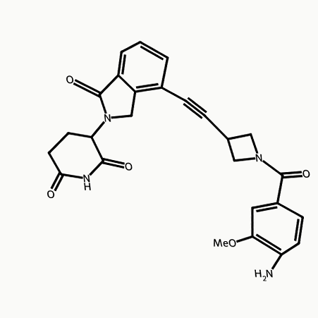 COc1cc(C(=O)N2CC(C#Cc3cccc4c3CN(C3CCC(=O)NC3=O)C4=O)C2)ccc1N